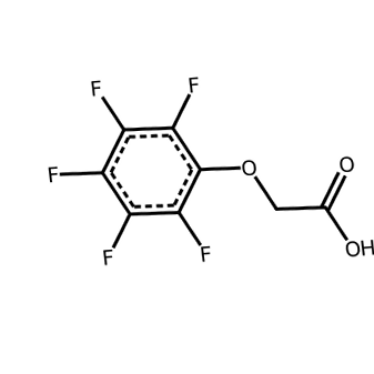 O=C(O)COc1c(F)c(F)c(F)c(F)c1F